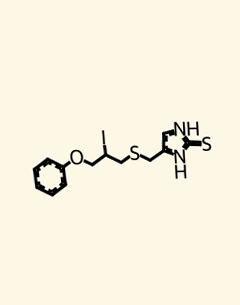 S=c1[nH]cc(CSCC(I)COc2ccccc2)[nH]1